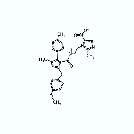 COc1ccc(Cn2cc(C)c(-c3ccc(C)cc3)c2C(=O)NCCn2c([N+](=O)[O-])cnc2C)cc1